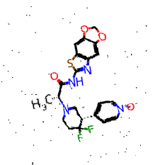 C[C@H](C(=O)Nc1nc2cc3c(cc2s1)OCO3)N1CCC(F)(F)[C@@H](c2cc[n+]([O-])cc2)C1